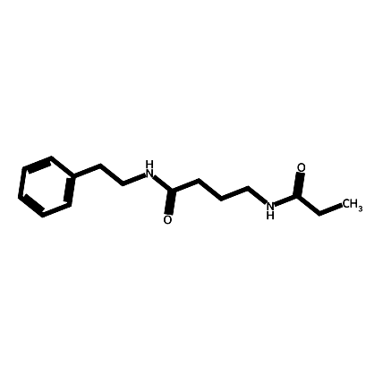 CCC(=O)NCCCC(=O)NCCc1ccccc1